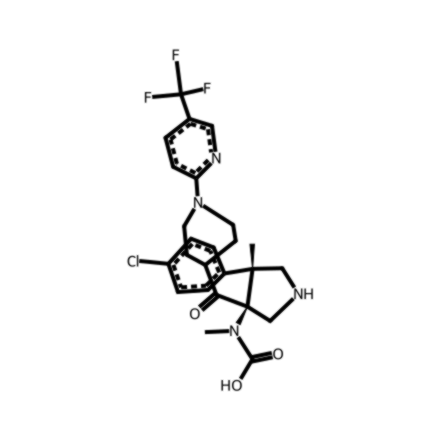 CN(C(=O)O)[C@]1(C(=O)C2CCN(c3ccc(C(F)(F)F)cn3)CC2)CNC[C@@]1(C)c1ccc(Cl)cc1